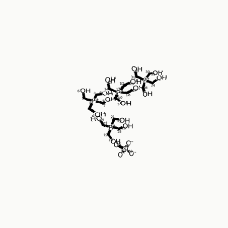 OC[P+](CO)(CO)CO.OC[P+](CO)(CO)CO.OC[P+](CO)(CO)CO.OC[P+](CO)(CO)CO.[O-][Si]([O-])([O-])[O-]